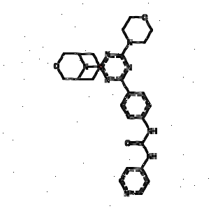 O=C(Nc1ccncc1)Nc1ccc(-c2nc(N3CCOCC3)nc(N3C4COCC3COC4)n2)cc1